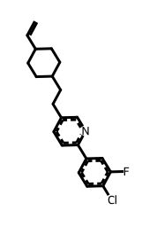 C=CC1CCC(CCc2ccc(-c3ccc(Cl)c(F)c3)nc2)CC1